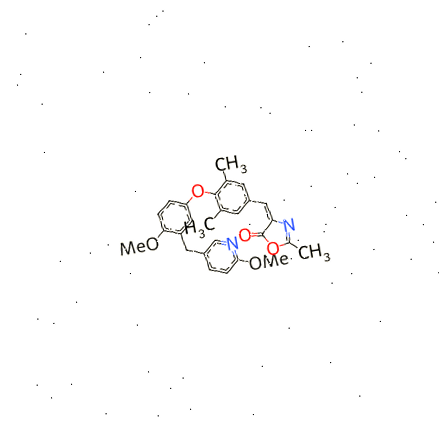 COc1ccc(Cc2cc(Oc3c(C)cc(C=C4N=C(C)OC4=O)cc3C)ccc2OC)cn1